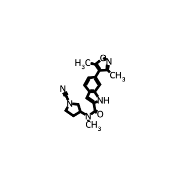 Cc1noc(C)c1-c1ccc2cc(C(=O)N(C)C3CCN(C#N)C3)[nH]c2c1